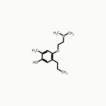 CCCc1cc(O)c(C)cc1OCCN(C)C